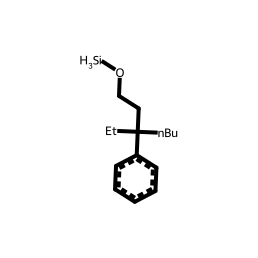 CCCCC(CC)(CCO[SiH3])c1ccccc1